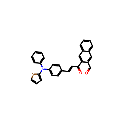 O=Cc1cc2ccccc2cc1C(=O)/C=C/c1ccc(N(c2ccccc2)c2cccs2)cc1